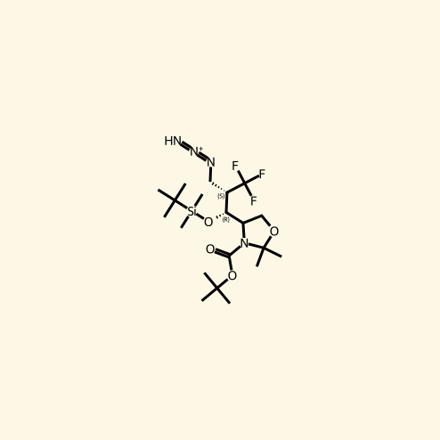 CC(C)(C)OC(=O)N1C([C@H](O[Si](C)(C)C(C)(C)C)[C@H](CN=[N+]=N)C(F)(F)F)COC1(C)C